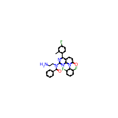 Cc1cc(F)ccc1-c1nc(N(CCN)C(=O)c2ccccc2)nc2c1ccc(=O)n2-c1c(F)cccc1F